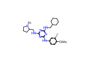 COc1ccc(Nc2nc(NCC3CCCCC3)nc(NCC3CCCN3C(C)=O)n2)cc1F